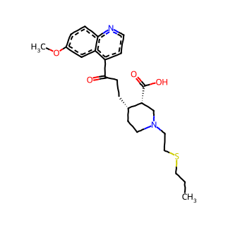 CCCSCCN1CC[C@H](CCC(=O)c2ccnc3ccc(OC)cc23)[C@H](C(=O)O)C1